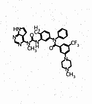 Cc1ccc(N(C(=O)c2cc(N3CCN(C)CC3)cc(C(F)(F)F)c2)c2ccccc2)cc1NC(=O)N(C)c1ncnc2[nH]ccc12